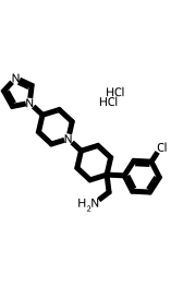 Cl.Cl.NCC1(c2cccc(Cl)c2)CCC(N2CCC(n3ccnc3)CC2)CC1